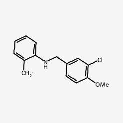 [CH2]c1ccccc1NCc1ccc(OC)c(Cl)c1